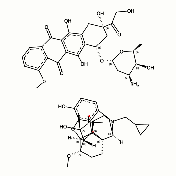 CO[C@@]12CC[C@@]3(C[C@@H]1[C@](C)(O)C(C)(C)C)[C@H]1Cc4ccc(O)c5c4[C@@]3(CCN1CC1CC1)[C@H]2O5.COc1cccc2c1C(=O)c1c(O)c3c(c(O)c1C2=O)C[C@@](O)(C(=O)CO)C[C@@H]3O[C@H]1C[C@H](N)[C@H](O)[C@H](C)O1